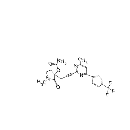 Cc1cc(-c2ccc(C(F)(F)F)cc2)nc(C#CCC2(OC(N)=O)CCN(C)C2=O)n1